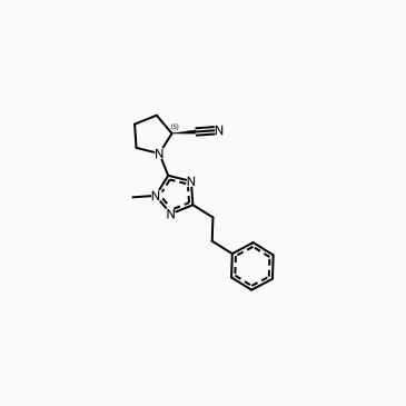 Cn1nc(CCc2ccccc2)nc1N1CCC[C@H]1C#N